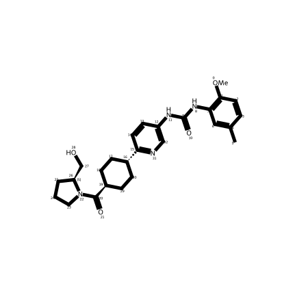 COc1ccc(C)cc1NC(=O)Nc1ccc([C@H]2CC[C@H](C(=O)N3CCC[C@H]3CO)CC2)nc1